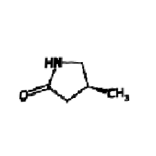 C[C@@H]1CNC(=O)C1